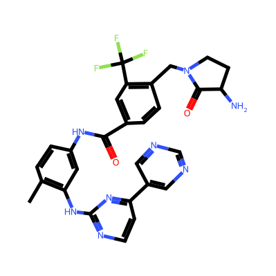 Cc1ccc(NC(=O)c2ccc(CN3CCC(N)C3=O)c(C(F)(F)F)c2)cc1Nc1nccc(-c2cncnc2)n1